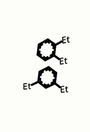 CCc1cccc(CC)c1.CCc1ccccc1CC